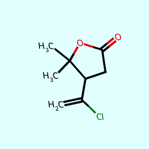 C=C(Cl)C1CC(=O)OC1(C)C